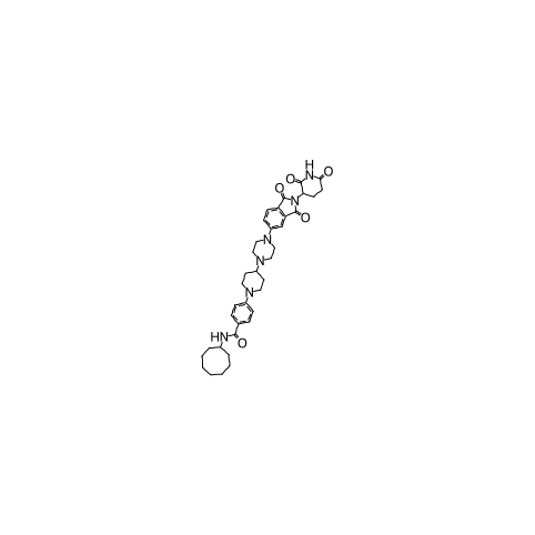 O=C1CCC(N2C(=O)c3ccc(N4CCN(C5CCN(c6ccc(C(=O)NC7CCCCCCC7)cc6)CC5)CC4)cc3C2=O)C(=O)N1